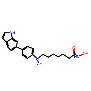 CC(=O)N(CCCCCCC(=O)NO)c1ccc(-c2ccc3cc[nH]c3c2)cc1